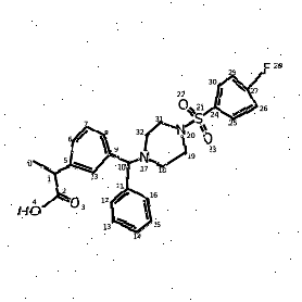 CC(C(=O)O)c1cccc(C(c2ccccc2)N2CCN(S(=O)(=O)c3ccc(F)cc3)CC2)c1